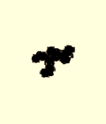 CC1(n2c3ccccc3c3cc4ccccc4cc32)CC=C(c2nc(-c3ccc4oc5ccccc5c4c3)nc(-c3ccc4oc5ccccc5c4c3)n2)c2c1oc1ccccc21